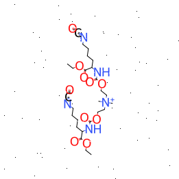 CCOC(=O)C(CCCCN=C=O)NC(=O)OCC[N+](C)(C)CCOC(=O)NC(CCCCN=C=O)C(=O)OCC